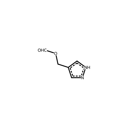 O=COCc1cn[nH]c1